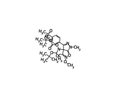 CON=C(C)C1(N(OC(=O)OC(C)(C)C)C(=O)OC(C)(C)C)C(=O)N(C)N=C1c1ccc(S(C)(=O)=O)cc1